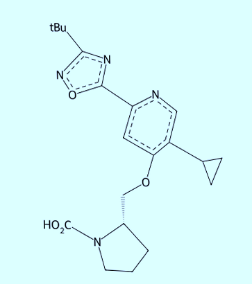 CC(C)(C)c1noc(-c2cc(OC[C@@H]3CCCN3C(=O)O)c(C3CC3)cn2)n1